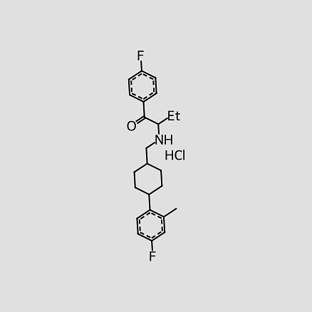 CCC(NCC1CCC(c2ccc(F)cc2C)CC1)C(=O)c1ccc(F)cc1.Cl